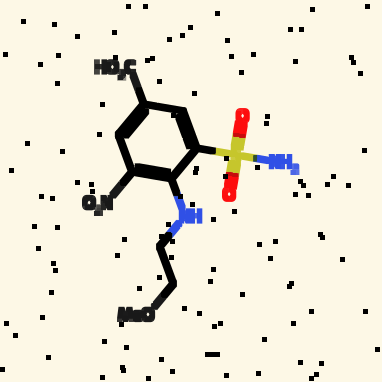 COCCNc1c([N+](=O)[O-])cc(C(=O)O)cc1S(N)(=O)=O